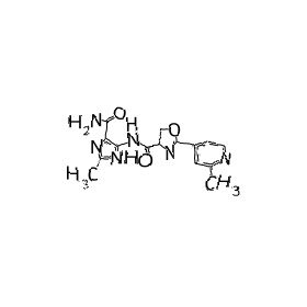 Cc1cc(C2=NC(C(=O)Nc3[nH]c(C)nc3C(N)=O)CO2)ccn1